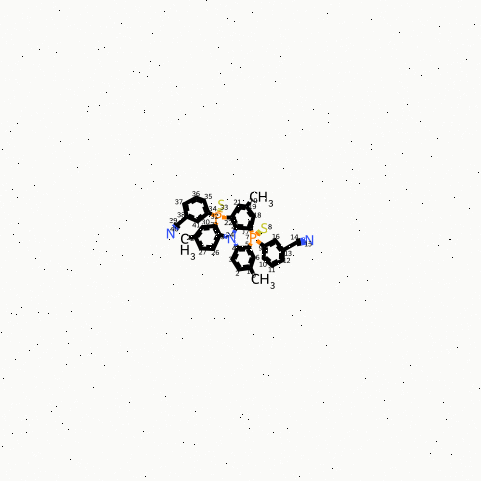 Cc1ccc2c(c1)P(=S)(c1cccc(C#N)c1)c1cc(C)cc3c1N2c1ccc(C)cc1P3(=S)c1cccc(C#N)c1